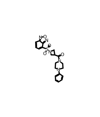 O=C(C1CN(S(=O)(=O)c2cccc3nonc23)C1)N1CCN(c2ccccc2)CC1